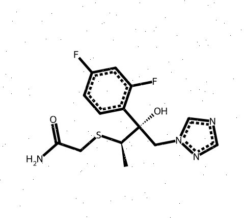 C[C@@H](SCC(N)=O)[C@](O)(Cn1cncn1)c1ccc(F)cc1F